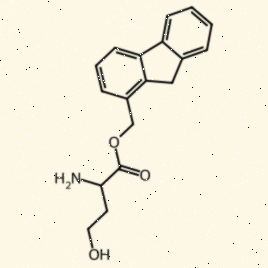 NC(CCO)C(=O)OCc1cccc2c1Cc1ccccc1-2